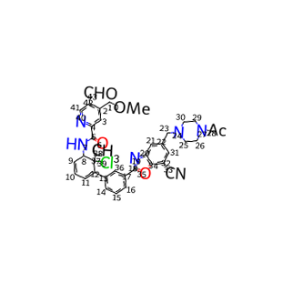 COCc1cc(C(=O)NC2C=CC=C(c3cccc(-c4nc5cc(CN6CCN(C(C)=O)CC6)cc(C#N)c5o4)c3)C2(C)Cl)ncc1C=O